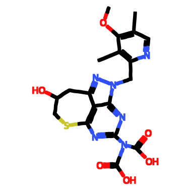 COc1c(C)cnc(Cn2nc3c4c(nc(N(C(=O)O)C(=O)O)nc42)SCC(O)C3)c1C